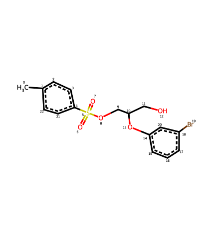 Cc1ccc(S(=O)(=O)OCC(CO)Oc2cccc(Br)c2)cc1